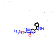 NOCCN(N)C(=O)N1CCC(c2c[nH]c3ccccc23)CC1